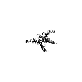 CC(C)(C)OCC(Cl)COP(=O)(OCC(Cl)COC(C)(C)C)c1nc(Cl)nc(P(=O)(OCC(Cl)COC(C)(C)C)OCC(Cl)COC(C)(C)C)n1